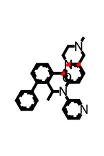 CC(c1c(C(=O)N2CCN(C)CC2)cccc1-c1ccccc1)N(c1cccnc1)c1cccnc1